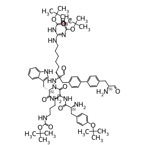 CC(C)(C)OC(=O)N=C(NCCCCCC[C@@](C=O)(Cc1ccc(-c2ccc(C[C@H](N)C=O)cc2)cc1)NN(C(=O)[C@H](CCCCNC(=O)OC(C)(C)C)NC(=O)[C@@H](N)Cc1ccc(OC(C)(C)C)cc1)[C@@H](Cc1c[nH]c2ccccc12)C(N)=O)NC(=O)OC(C)(C)C